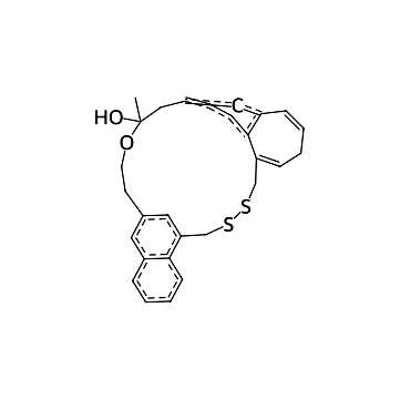 CC1(O)Cc2ccc3c(c2)C=CCC=C3CSSCc2cc(cc3ccccc23)CCO1